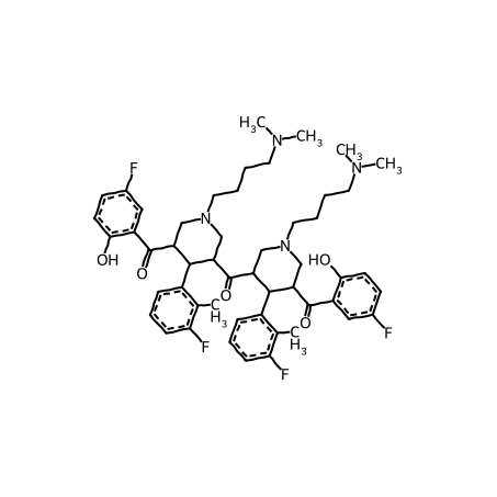 Cc1c(F)cccc1C1C(C(=O)c2cc(F)ccc2O)CN(CCCCN(C)C)CC1C(=O)C1CN(CCCCN(C)C)CC(C(=O)c2cc(F)ccc2O)C1c1cccc(F)c1C